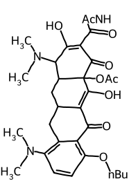 CCCCOc1ccc(N(C)C)c2c1C(=O)C1=C(O)C3(OC(C)=O)C(=O)C(C(=O)NC(C)=O)=C(O)C(N(C)C)C3CC1C2